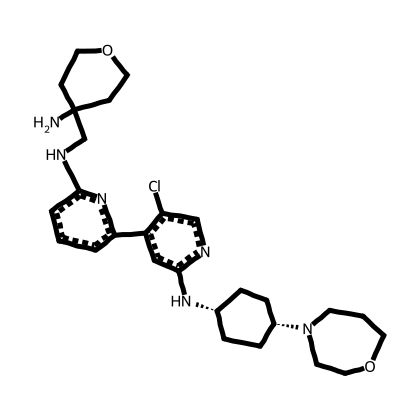 NC1(CNc2cccc(-c3cc(N[C@H]4CC[C@@H](N5CCCOCC5)CC4)ncc3Cl)n2)CCOCC1